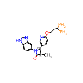 C[C@H]1C(=O)N(c2ccc3[nH]cnc3c2)[C@H]1c1ccc(OCCC(P)P)nc1